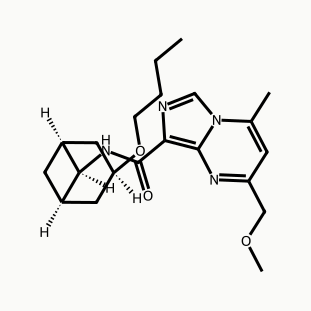 CCCCO[C@@H]1C[C@@H]2C[C@H](C1)[C@@H]2NC(=O)c1ncn2c(C)cc(COC)nc12